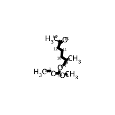 CCOC(OC)OCC(C)CCCC(C)=O